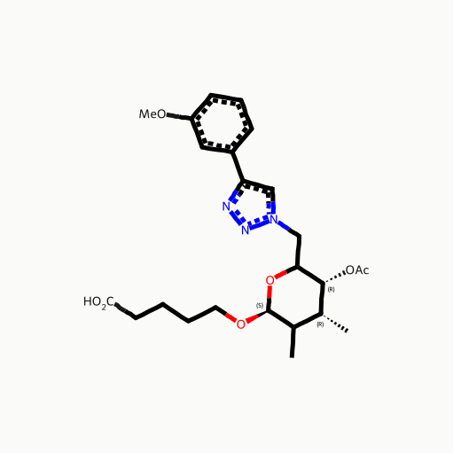 COc1cccc(-c2cn(CC3O[C@H](OCCCCC(=O)O)C(C)[C@@H](C)[C@H]3OC(C)=O)nn2)c1